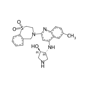 Cc1ccc2nc(N3CCS(=O)(=O)c4ccccc4C3)cc(N[C@@H]3CNC[C@H]3O)c2c1